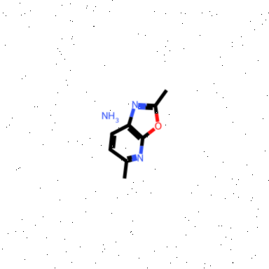 Cc1ccc2nc(C)oc2n1.N